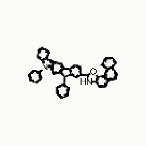 c1ccc(C2c3cc(C4Nc5ccc6ccc7ccccc7c6c5O4)ccc3-c3cc4c5ccccc5n(-c5ccccc5)c4cc32)cc1